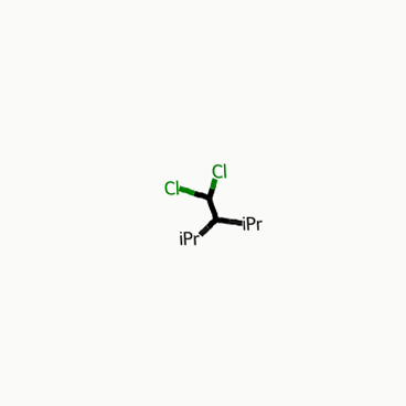 CC(C)C(C(C)C)C(Cl)Cl